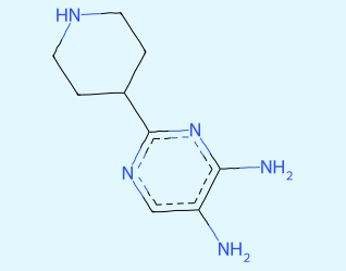 Nc1cnc(C2CCNCC2)nc1N